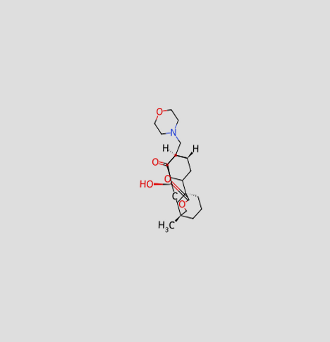 C[C@]12CCC[C@]3(C(=O)OC1)C2C[C@@H](O)[C@@]12CC[C@@H](CC31)[C@H](CN1CCOCC1)C2=O